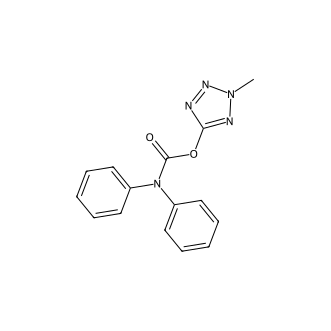 Cn1nnc(OC(=O)N(c2ccccc2)c2ccccc2)n1